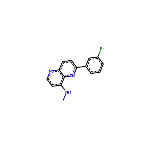 CNc1ccnc2ccc(-c3cccc(Br)c3)nc12